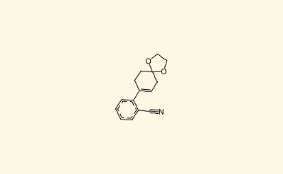 N#Cc1ccccc1C1=CCC2(CC1)OCCO2